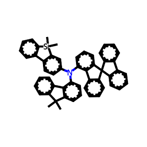 CC1(C)c2ccccc2-c2c(N(c3ccc4c(c3)[Si](C)(C)c3ccccc3-4)c3cccc4c3-c3ccccc3C43c4ccccc4-c4ccccc43)cccc21